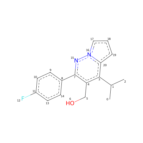 CC(C)c1c(CO)c(-c2ccc(F)cc2)nn2cccc12